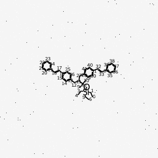 CC[Si](CC)(CC)OC(C)(C)C(Cc1ccc(C=Cc2ccccc2)cc1)Cc1ccc(C=Cc2ccccc2)cc1